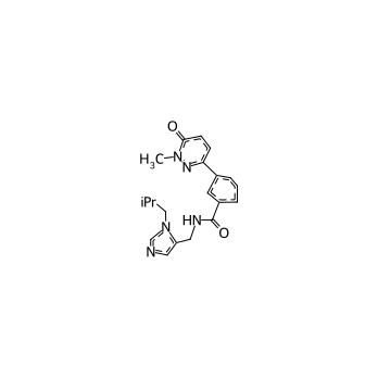 CC(C)Cn1cncc1CNC(=O)c1cccc(-c2ccc(=O)n(C)n2)c1